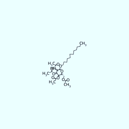 CCCCCCCCCCCCO[C@@H]1O[C@H](COC(C)=O)[C@@H](OC(C)=O)[C@H](OC(C)=O)[C@H]1NC(C)=O